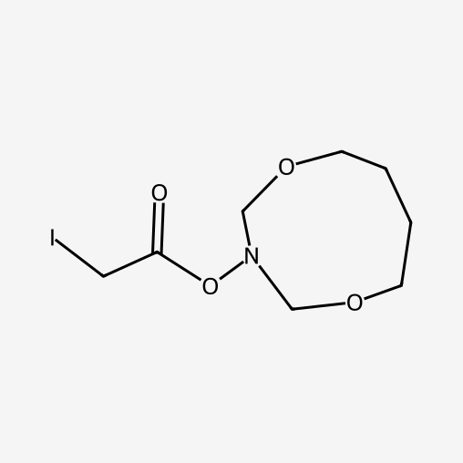 O=C(CI)ON1COCCCCOC1